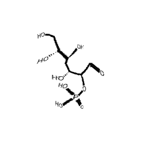 O=C[C@@H](OP(=O)(O)O)[C@H](O)[C@H](O)[C@H](O)CO